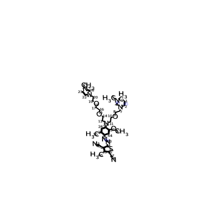 C/C=C\N(/C=N/C)CCOCCN(CCOCCOCCn1cc[n+](C)c1)c1cc(C)c(/N=N/c2sc(C#N)c(C)c2C#N)cc1OC